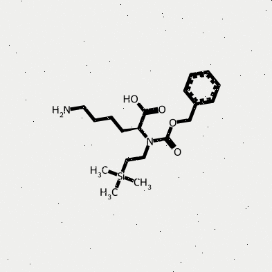 C[Si](C)(C)CCN(C(=O)OCc1ccccc1)[C@@H](CCCCN)C(=O)O